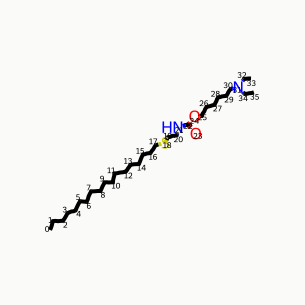 CCCCCCCCCCCCCCCCCCSCCNC(=O)OCCCCCCN(CC)CC